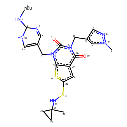 CCCCNC1N=CC(Cn2c(=O)n(Cc3cnn(C)c3)c(=O)c3cc(SNC4(C)CC4)sc32)=CN1